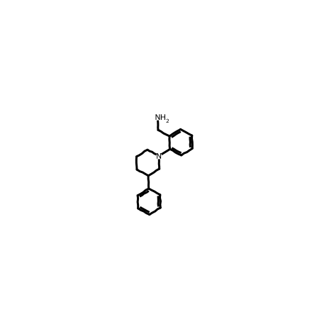 NCc1ccccc1N1CCCC(c2ccccc2)C1